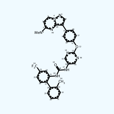 CNc1ccn2ncc(-c3ccc(Oc4ncc(NC(=O)Nc5cc(C(F)(F)F)ccc5-c5ccccc5C)cn4)cc3)c2n1